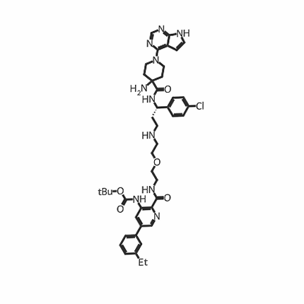 CCc1cccc(-c2cnc(C(=O)NCCOCCNCC[C@H](NC(=O)C3(N)CCN(c4ncnc5[nH]ccc45)CC3)c3ccc(Cl)cc3)c(NC(=O)OC(C)(C)C)c2)c1